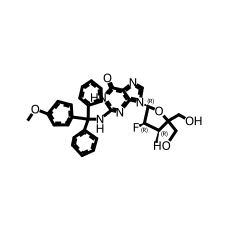 COc1ccc(C(Nc2nc3c(ncn3[C@@H]3OC(CO)(CO)[C@@H](C)[C@H]3F)c(=O)[nH]2)(c2ccccc2)c2ccccc2)cc1